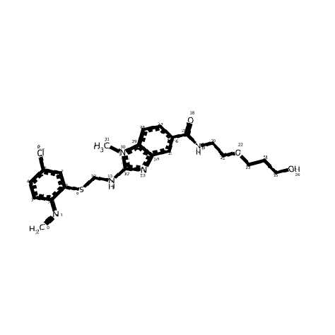 C=Nc1ccc(Cl)cc1SCNc1nc2cc(C(=O)NCCOCCCO)ccc2n1C